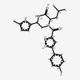 Cc1ccc(C2CN(C(=O)c3cc(-c4ccc(F)cc4)on3)C(CC(C)C)C(=O)N2)s1